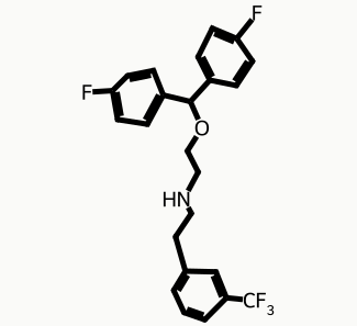 Fc1ccc(C(OCCNCCc2cccc(C(F)(F)F)c2)c2ccc(F)cc2)cc1